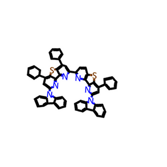 C1=CCC(c2cc(-n3c4ccccc4c4ccccc43)nc3c2sc2c(-c4ccccc4)cc(-c4ccc5sc6c(-c7ccccc7)cc(-n7c8ccccc8c8ccccc87)nc6c5n4)nc23)C=C1